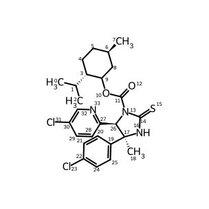 CC(C)[C@@H]1CC[C@@H](C)CC1OC(=O)N1C(=S)N[C@@](C)(c2ccc(Cl)cc2)[C@H]1c1ccc(Cl)cn1